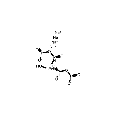 CCCCCO.O=[PH]([O-])O[PH](=O)[O-].O=[PH]([O-])O[PH](=O)[O-].[Na+].[Na+].[Na+].[Na+]